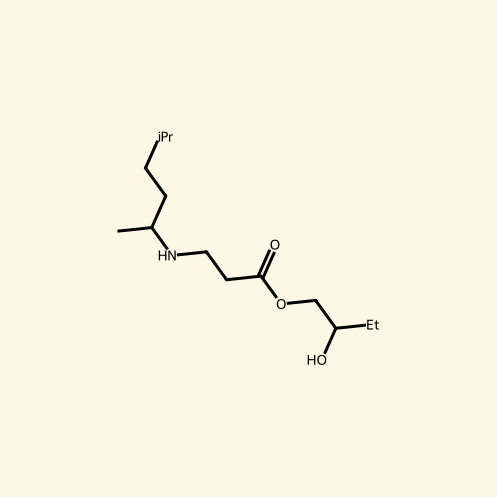 CCC(O)COC(=O)CCNC(C)CCC(C)C